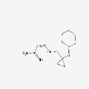 N=C(/C=C\NCC1(OC2CCCCO2)CC1)[N+](=O)[O-]